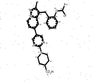 Cc1nn2ccc(-c3cnc(N4CCC(C(=O)O)CC4)nc3)cc2c1Cc1ccccc1OC(F)F